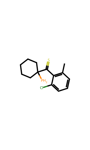 Cc1cccc(Cl)c1C(=S)C1(P)CCCCC1